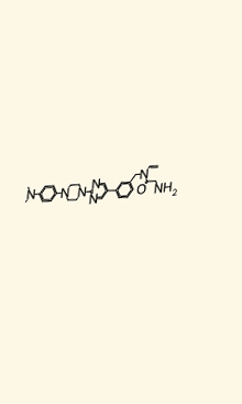 C=CN(Cc1cccc(-c2cnc(N3CCN(c4ccc(N(C)C)cc4)CC3)nc2)c1)C(=O)CN